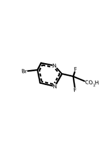 O=C(O)C(F)(F)c1ncc(Br)cn1